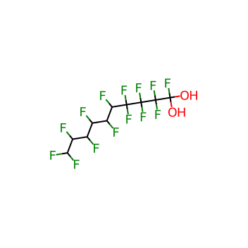 OC(O)(F)C(F)(F)C(F)(F)C(F)(F)C(F)C(F)C(F)C(F)C(F)C(F)F